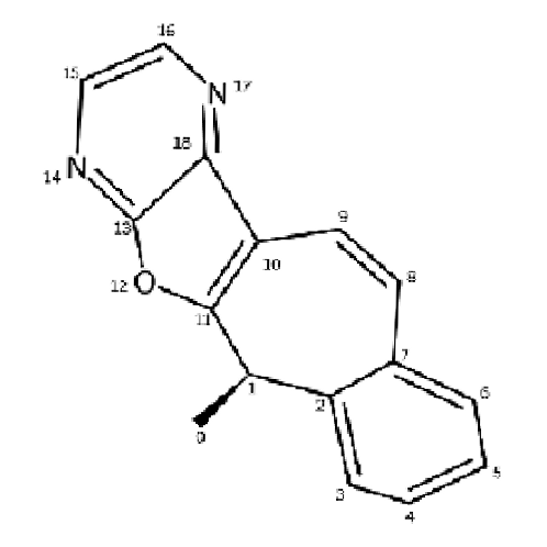 C[C@@H]1c2ccccc2C=Cc2c1oc1nccnc21